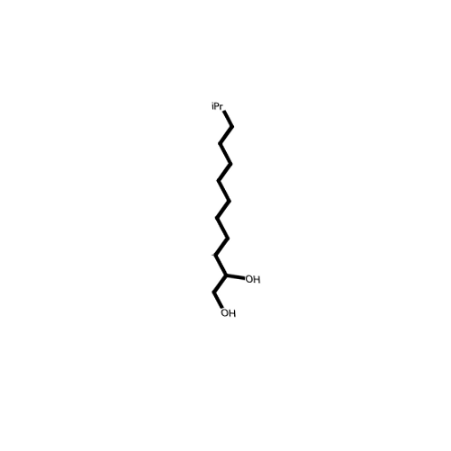 CC(C)CCCCCCC[CH]C(O)CO